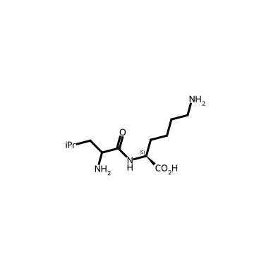 CC(C)CC(N)C(=O)N[C@@H](CCCCN)C(=O)O